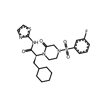 O=C(Nc1nccs1)[C@H](CC1CCCCC1)N1CCN(S(=O)(=O)c2cccc(F)c2)CC1=O